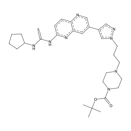 CC(C)(C)OC(=O)N1CCN(CCCn2cc(-c3cnc4ccc(NC(=S)NC5CCCC5)nc4c3)cn2)CC1